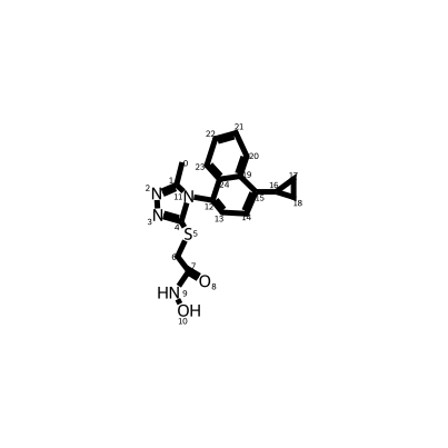 Cc1nnc(SCC(=O)NO)n1-c1ccc(C2CC2)c2ccccc12